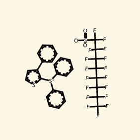 O=S(=O)([O-])C(F)(F)C(F)(F)C(F)(F)C(F)(F)C(F)(F)C(F)(F)C(F)(F)C(F)(F)F.c1ccc(-c2ccsc2[S+](c2ccccc2)c2ccccc2)cc1